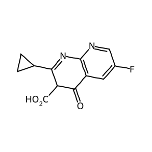 O=C(O)C1C(=O)c2cc(F)cnc2N=C1C1CC1